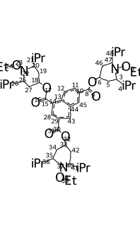 CCON1C(C(C)C)CC(OC(=O)c2ccc3c(C(=O)OC4CC(C(C)C)N(OCC)C(C(C)C)C4)cc(C(=O)OC4CC(C(C)C)N(OCC)C(C(C)C)C4)cc3c2)CC1C(C)C